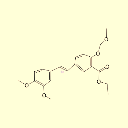 CCOC(=O)c1cc(/C=C/c2ccc(OC)c(OC)c2)ccc1OCOC